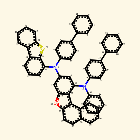 c1ccc(-c2ccc(N(c3cc(N(c4ccccc4)c4ccc(-c5ccccc5)cc4)c4c(c3)oc3ccc5ccccc5c34)c3cccc4c3sc3ccccc34)cc2)cc1